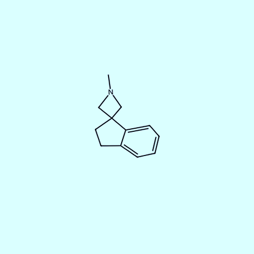 CN1CC2(CCc3ccccc32)C1